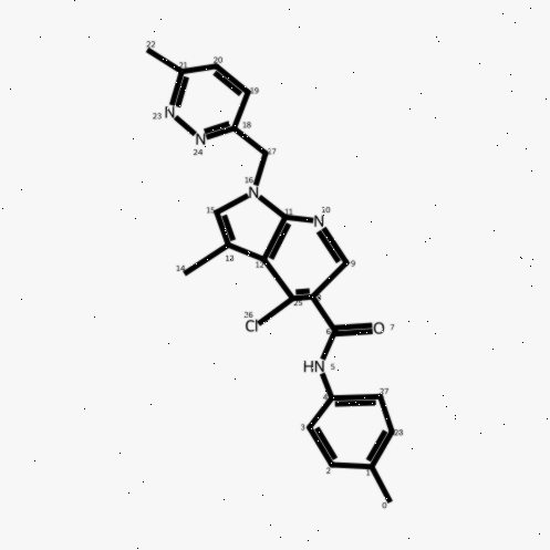 Cc1ccc(NC(=O)c2cnc3c(c(C)cn3Cc3ccc(C)nn3)c2Cl)cc1